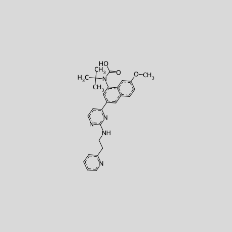 COc1ccc2cc(-c3ccnc(NCCc4ccccn4)n3)cc(N(C(=O)O)C(C)(C)C)c2c1